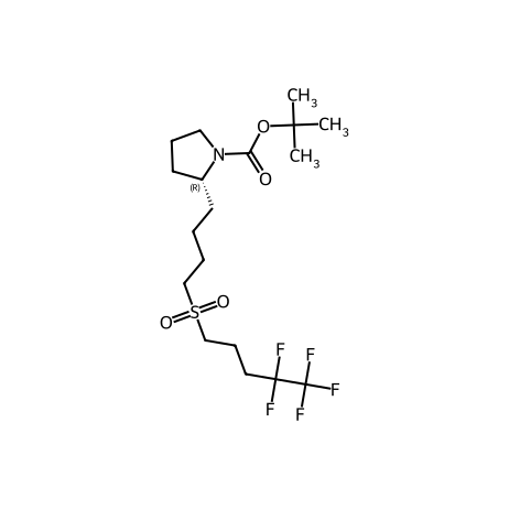 CC(C)(C)OC(=O)N1CCC[C@H]1CCCCS(=O)(=O)CCCC(F)(F)C(F)(F)F